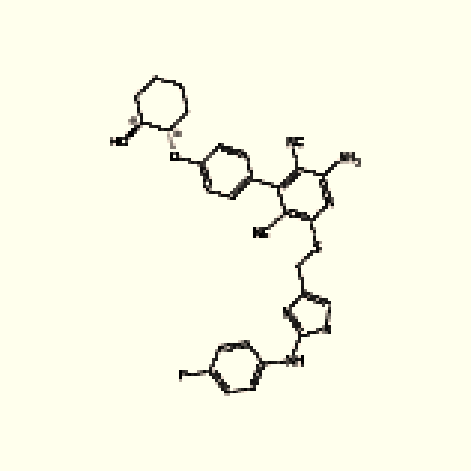 [C-]#[N+]c1c(N)nc(SCc2csc(Nc3ccc(F)cc3)n2)c(C#N)c1-c1ccc(O[C@H]2CCCC[C@@H]2O)cc1